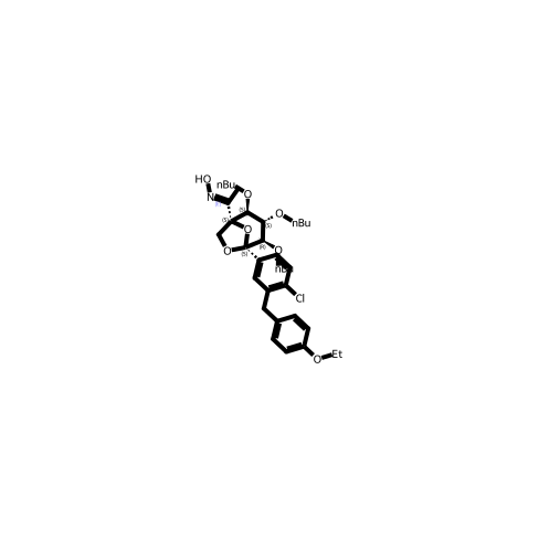 CCCCO[C@@H]1[C@@H](OCCCC)[C@@]2(c3ccc(Cl)c(Cc4ccc(OCC)cc4)c3)OC[C@](/C(C)=N/O)(O2)[C@H]1OCCCC